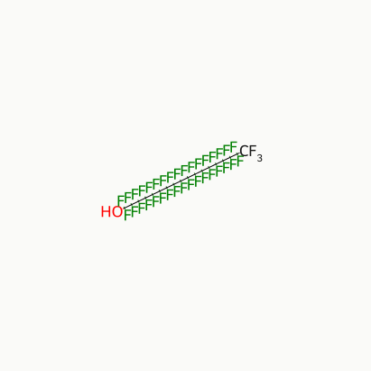 OC(F)(F)C(F)(F)C(F)(F)C(F)(F)C(F)(F)C(F)(F)C(F)(F)C(F)(F)C(F)(F)C(F)(F)C(F)(F)C(F)(F)C(F)(F)C(F)(F)C(F)(F)C(F)(F)C(F)(F)C(F)(F)F